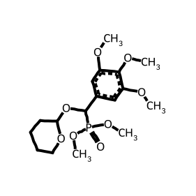 COc1cc(C(OC2CCCCO2)P(=O)(OC)OC)cc(OC)c1OC